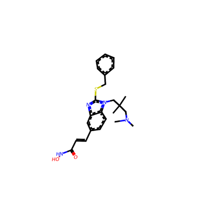 CN(C)CC(C)(C)Cn1c(SCc2ccccc2)nc2cc(C=CC(=O)NO)ccc21